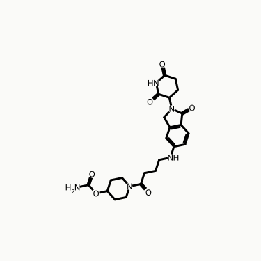 NC(=O)OC1CCN(C(=O)CCCNc2ccc3c(c2)CN(C2CCC(=O)NC2=O)C3=O)CC1